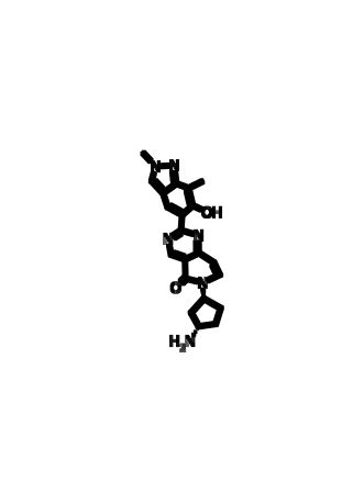 Cc1c(O)c(-c2ncc3c(=O)n([C@H]4CC[C@H](N)C4)ccc3n2)cc2cn(C)nc12